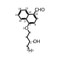 [2H]C[C@@H](O)CCOc1ccc(C=O)c2ccccc12